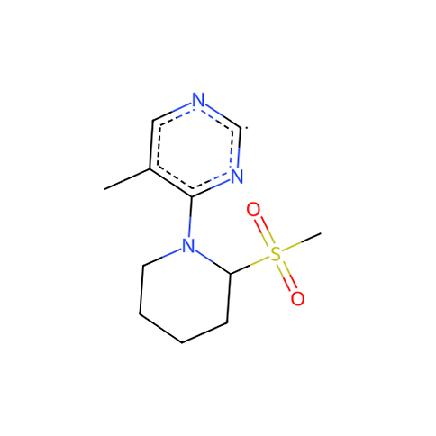 Cc1cn[c]nc1N1CCCCC1S(C)(=O)=O